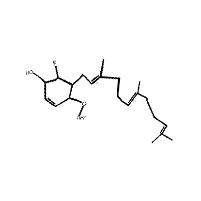 CCCOC1C=CC(O)C(F)C1C/C=C(\C)CC/C=C(\C)CCC=C(C)C